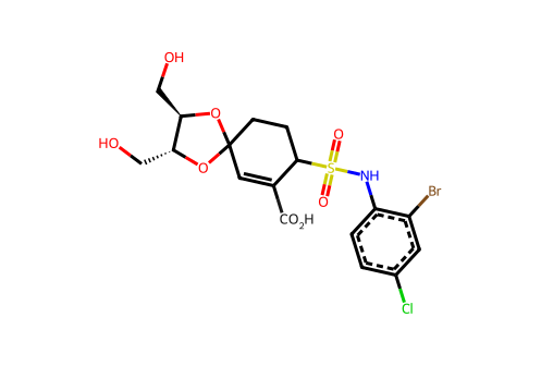 O=C(O)C1=CC2(CCC1S(=O)(=O)Nc1ccc(Cl)cc1Br)O[C@H](CO)[C@@H](CO)O2